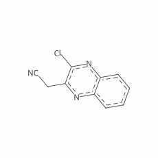 N#CCc1nc2ccccc2nc1Cl